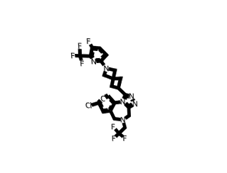 Fc1ccc(N2CC3(CC(c4nnc5n4-c4ccc(Cl)cc4CN(CC(F)(F)F)C5)C3)C2)nc1C(F)(F)F